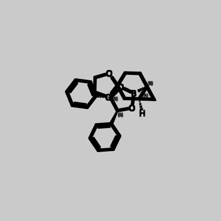 c1ccc([C@@H]2OB([C@@]34CCC5(C[C@@H]3C4)OCCO5)O[C@H]2c2ccccc2)cc1